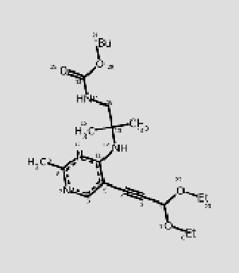 CCOC(C#Cc1cnc(C)nc1NC(C)(C)CNC(=O)OC(C)(C)C)OCC